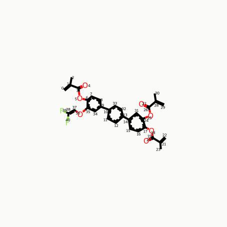 C=C(C)C(=O)Oc1ccc(-c2ccc(-c3ccc(OC(=O)C(=C)C)c(OC(=O)C(=C)C)c3)cc2)cc1OC=C(F)F